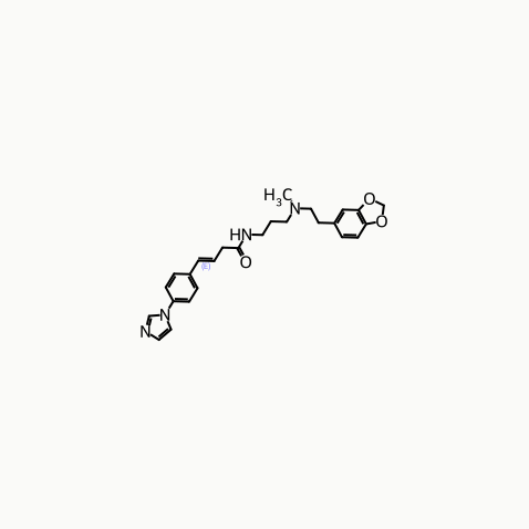 CN(CCCNC(=O)C/C=C/c1ccc(-n2ccnc2)cc1)CCc1ccc2c(c1)OCO2